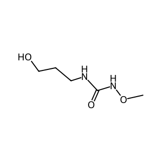 CONC(=O)NCCCO